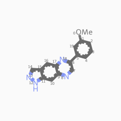 COc1cccc(-c2cnc3cc4[nH]ncc4cc3n2)c1